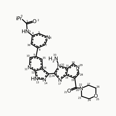 CC(C)C(=O)Nc1cncc(-c2cnc3[nH]nc(-c4nc5c(C(=O)N6CCOCC6)cncc5n4N)c3c2)c1